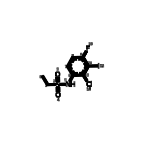 CCS(=O)(=O)Nc1ccc(F)c(I)c1Cl